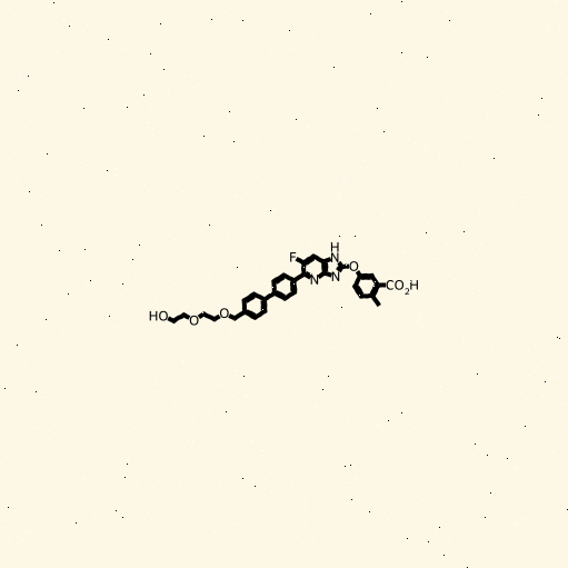 Cc1ccc(Oc2nc3nc(-c4ccc(-c5ccc(COCCOCCO)cc5)cc4)c(F)cc3[nH]2)cc1C(=O)O